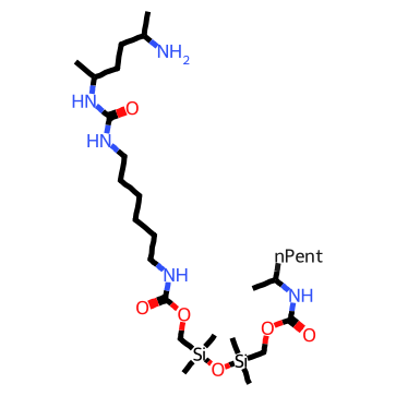 CCCCCC(C)NC(=O)OC[Si](C)(C)O[Si](C)(C)COC(=O)NCCCCCCNC(=O)NC(C)CCC(C)N